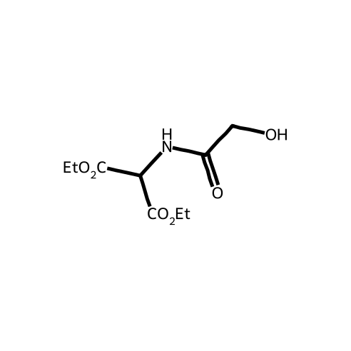 CCOC(=O)C(NC(=O)CO)C(=O)OCC